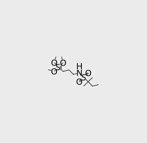 CCC(C)(C)S(=O)(=O)NCCC[Si](OC)(OC)OC